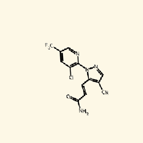 N#Cc1cnn(-c2ncc(C(F)(F)F)cc2Cl)c1C=CC(N)=O